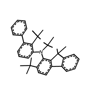 CC(C)(C)c1ccc2c(c1N(c1cccc(-c3ccccc3)c1C(C)(C)C)C(C)(C)C)C(C)(C)c1ccccc1-2